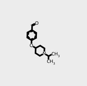 CC(C)N1CCC(Oc2ccc([C]=O)cc2)CC1